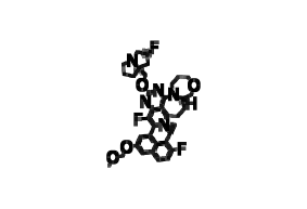 C#Cc1c(F)ccc2cc(OCOC)cc(-c3nc4c5c(nc(OC[C@@]67CCCN6C[C@@H](F)C7)nc5c3F)N3CCCOC[C@@H]3CC4)c12